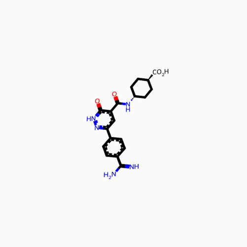 N=C(N)c1ccc(-c2cc(C(=O)N[C@H]3CC[C@H](C(=O)O)CC3)c(=O)[nH]n2)cc1